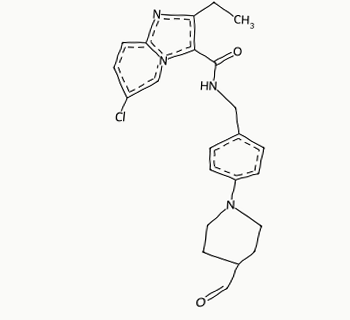 CCc1nc2ccc(Cl)cn2c1C(=O)NCc1ccc(N2CCC(C=O)CC2)cc1